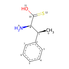 C[C@@H](c1ccccc1)[C@@H](N)C(O)=S